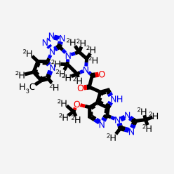 [2H]c1nc(-n2nnnc2N2C([2H])([2H])C([2H])([2H])N(C(=O)C(=O)c3c[nH]c4c(-n5nc(C([2H])([2H])[2H])nc5[2H])ncc(OC([2H])([2H])[2H])c34)C([2H])([2H])C2([2H])[2H])c([2H])c([2H])c1C